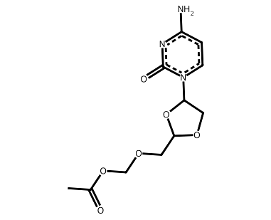 CC(=O)OCOCC1OCC(n2ccc(N)nc2=O)O1